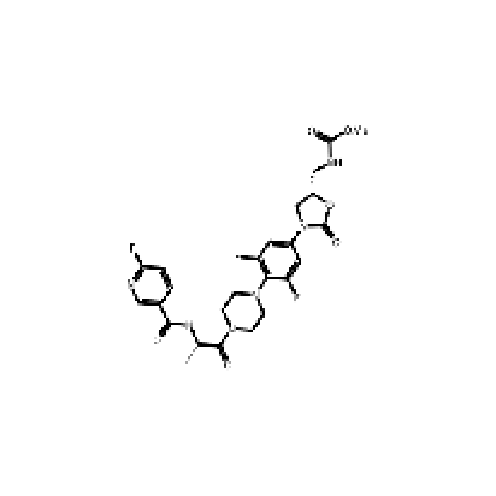 COC(=O)NC[C@H]1CN(c2cc(F)c(N3CCN(C(=O)[C@H](C)NC(=O)c4ccc(F)nc4)CC3)c(F)c2)C(=O)O1